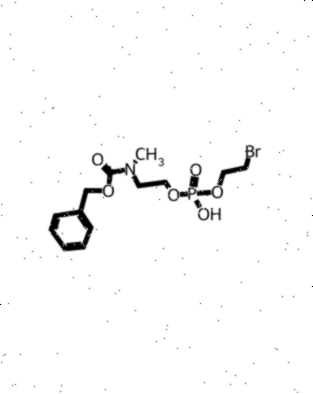 CN(CCOP(=O)(O)OCCBr)C(=O)OCc1ccccc1